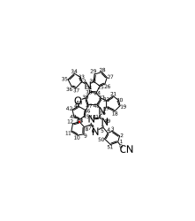 N#Cc1ccc(-c2nc(-c3ccccc3)nc(-n3c4ccccc4c4c5c6ccccc6n(-c6ccccc6)c5c5oc6ccccc6c5c43)n2)cc1